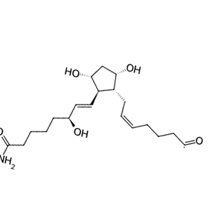 NC(=O)CCCC[C@H](O)/C=C/[C@@H]1[C@@H](C/C=C\CCC[C]=O)[C@@H](O)C[C@H]1O